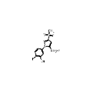 CCOC(=O)c1cc(S(C)(=O)=O)nn1-c1ccc(F)c(C#N)c1